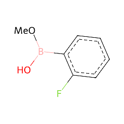 COB(O)c1ccccc1F